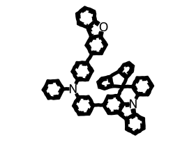 c1ccc(N(c2ccc(-c3ccc4oc5ccccc5c4c3)cc2)c2cccc(-c3cc4c5c(c3)c3ccccc3n5-c3ccccc3C43c4ccccc4-c4ccccc43)c2)cc1